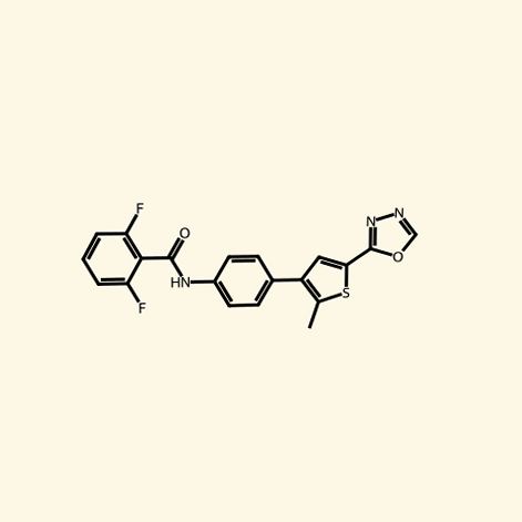 Cc1sc(-c2nnco2)cc1-c1ccc(NC(=O)c2c(F)cccc2F)cc1